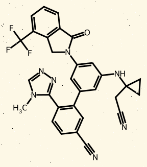 Cn1cnnc1-c1ccc(C#N)cc1-c1cc(NC2(CC#N)CC2)cc(N2Cc3c(cccc3C(F)(F)F)C2=O)c1